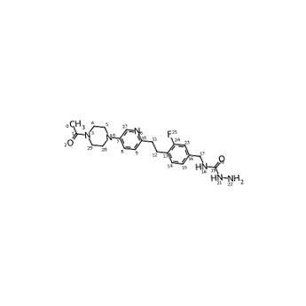 CC(=O)N1CCN(c2ccc(CCc3ccc(CNC(=O)NN)cc3F)nc2)CC1